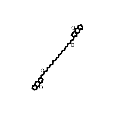 O=C(CCCCCCCCCCCCCCCCC(=O)CCc1ccc2c(c1)Cc1ccccc1C2=O)CCc1ccc2c(c1)Cc1ccccc1C2=O